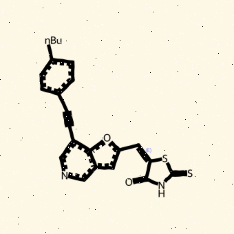 CCCCc1ccc(C#Cc2cncc3cc(/C=C4/SC(=S)NC4=O)oc23)cc1